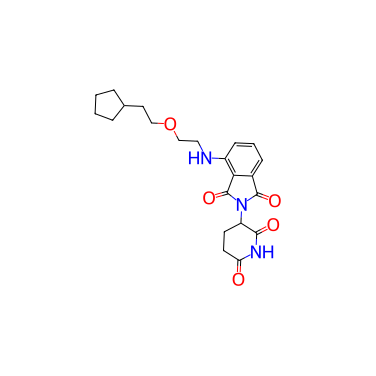 O=C1CCC(N2C(=O)c3cccc(NCCOCCC4CCCC4)c3C2=O)C(=O)N1